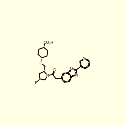 O=C(Cc1ccc2nc(-c3cccnc3)oc2c1)N1C[C@@H](F)C[C@H]1CO[C@H]1CC[C@H](C(=O)O)CC1